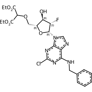 CCOC(=O)C(OC[C@H]1O[C@@H](n2cnc3c(NCc4ccccc4)nc(Cl)nc32)[C@@H](F)[C@@H]1O)C(=O)OCC